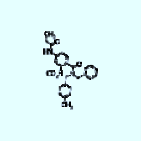 C=CC(=O)Nc1ccc(C(=O)N(Cc2ccccc2)Cc2ccc(C)cc2)c(C(=O)O)c1